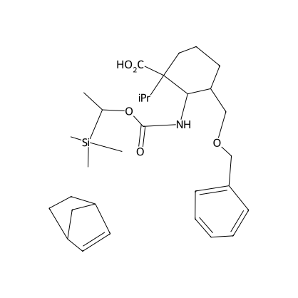 C1=CC2CCC1C2.CC(C)C1(C(=O)O)CCCC(COCc2ccccc2)C1NC(=O)OC(C)[Si](C)(C)C